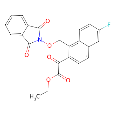 CCOC(=O)C(=O)c1ccc2cc(F)ccc2c1CON1C(=O)c2ccccc2C1=O